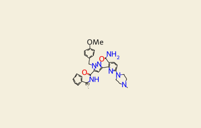 COc1ccc(Cn2nc(-c3nc(N4CCN(C)CC4)ccc3C(N)=O)cc2C(=O)N[C@H](C)c2ccccc2)cc1